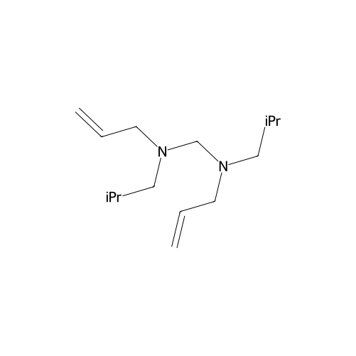 C=CCN(CC(C)C)CN(CC=C)CC(C)C